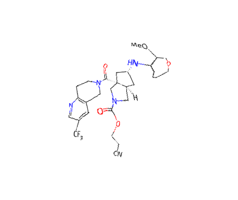 COC1COCCC1N[C@@H]1C[C@H]2CN(C(=O)OCCC#N)C[C@@]2(C(=O)N2CCc3ncc(C(F)(F)F)cc3C2)C1